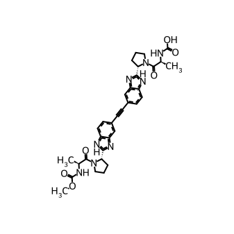 COC(=O)N[C@@H](C)C(=O)N1CCC[C@H]1c1nc2cc(C#Cc3ccc4[nH]c([C@@H]5CCCN5C(=O)[C@H](C)NC(=O)O)nc4c3)ccc2[nH]1